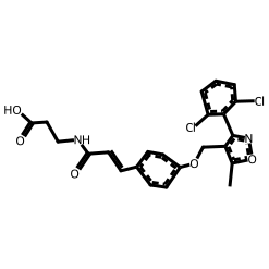 Cc1onc(-c2c(Cl)cccc2Cl)c1COc1ccc(C=CC(=O)NCCC(=O)O)cc1